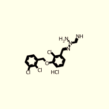 Cl.N=CN(N)N=Cc1cccc(OCc2cccc(Cl)c2Cl)c1Cl